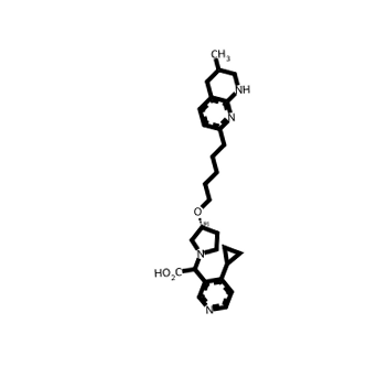 CC1CNc2nc(CCCCCO[C@@H]3CCN(C(C(=O)O)c4cnccc4C4CC4)C3)ccc2C1